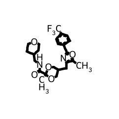 Cc1oc(-c2ccc(C(F)(F)F)cc2)nc1CC1COC(C)(C(=O)NCC2CCOCC2)OC1